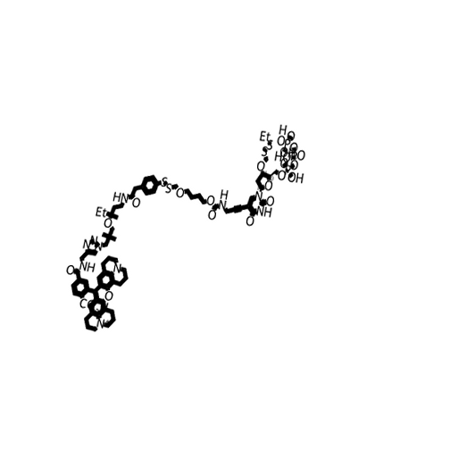 CCSSCO[C@@H]1C[C@H](n2cc(C#CCNC(=O)OCCCCOCSSc3ccc(CC(=O)NCCC(C)(CC)OCC(C)(C)Cn4cc(CNC(=O)c5ccc(C(=O)O)c(C6=c7cc8c9c(c7Oc7c6cc6c%10c7CCCN%10CCC6)CCC[N+]=9CCC8)c5)nn4)cc3)c(=O)[nH]c2=O)O[C@@H]1COP(=O)(O)OP(=O)(O)OP(=O)(O)O